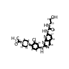 CC(=O)N1CCN(c2ccc(Nc3ncc4ccc(NC(=O)NCCO)nc4n3)cc2Cl)CC1